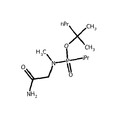 CCCC(C)(C)OP(=O)(C(C)C)N(C)CC(N)=O